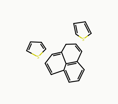 C1=Cc2cccc3cccc(c23)C1.c1ccsc1.c1ccsc1